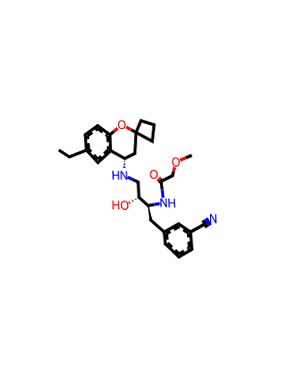 CCc1ccc2c(c1)[C@@H](NC[C@@H](O)[C@H](Cc1cccc(C#N)c1)NC(=O)COC)CC1(CCC1)O2